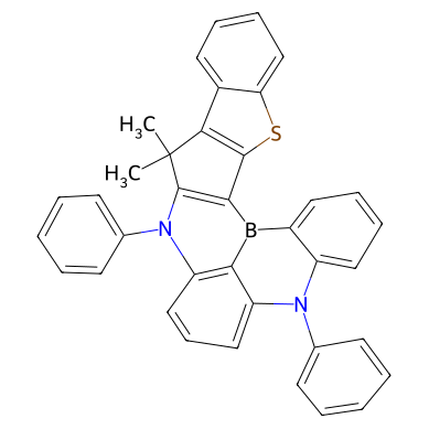 CC1(C)C2=C(B3c4ccccc4N(c4ccccc4)c4cccc(c43)N2c2ccccc2)c2sc3ccccc3c21